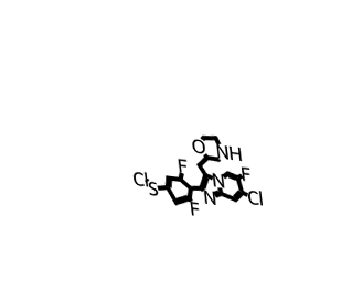 FC1=CC(SCl)=CC(F)C1c1nc2cc(Cl)c(F)cn2c1CC1CNCCO1